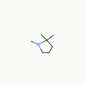 CN1[C]CCC1(C)C